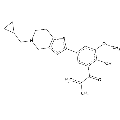 C=C(C)C(=O)c1cc(-c2cc3c(s2)CCN(CC2CC2)C3)cc(OC)c1O